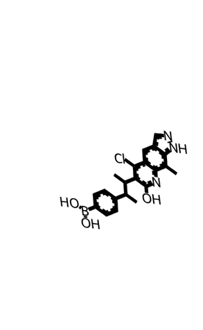 Cc1c2nc(O)c(C(C)C(C)c3ccc(B(O)O)cc3)c(Cl)c2cc2cn[nH]c12